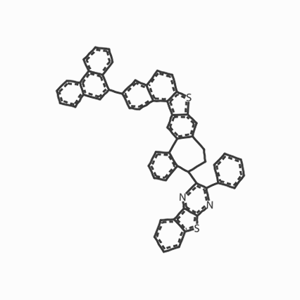 c1ccc(-c2nc3sc4ccccc4c3nc2C2CCc3cc4sc5ccc6cc(-c7cc8ccccc8c8ccccc78)ccc6c5c4cc3-c3ccccc32)cc1